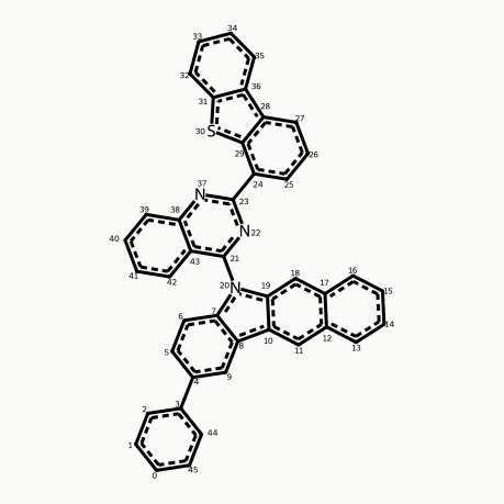 c1ccc(-c2ccc3c(c2)c2cc4ccccc4cc2n3-c2nc(-c3cccc4c3sc3ccccc34)nc3ccccc23)cc1